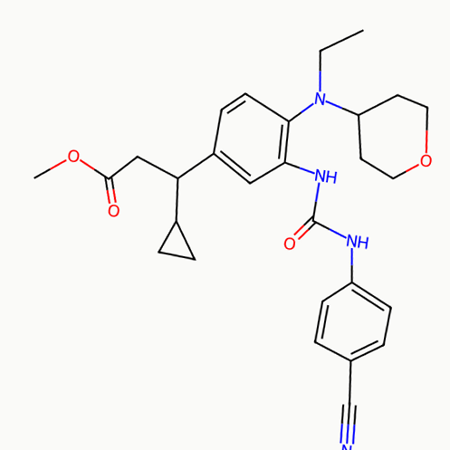 CCN(c1ccc(C(CC(=O)OC)C2CC2)cc1NC(=O)Nc1ccc(C#N)cc1)C1CCOCC1